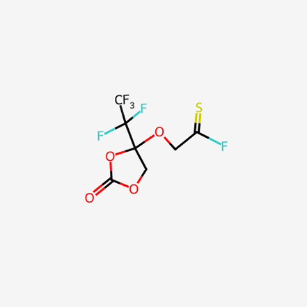 O=C1OCC(OCC(F)=S)(C(F)(F)C(F)(F)F)O1